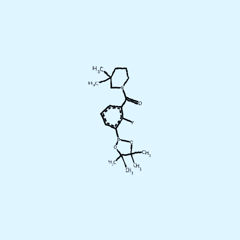 CC1(C)CCCN(C(=O)c2cccc(B3OC(C)(C)C(C)(C)O3)c2F)C1